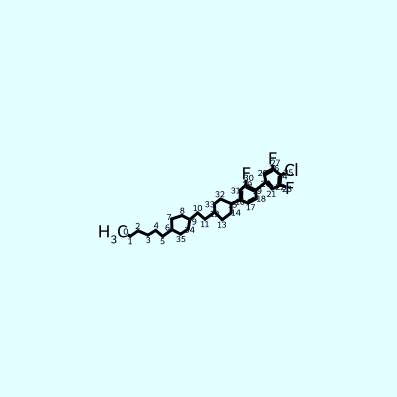 CCCCCCC1CCC(CCC2CCC(c3ccc(-c4cc(F)c(Cl)c(F)c4)c(F)c3)CC2)CC1